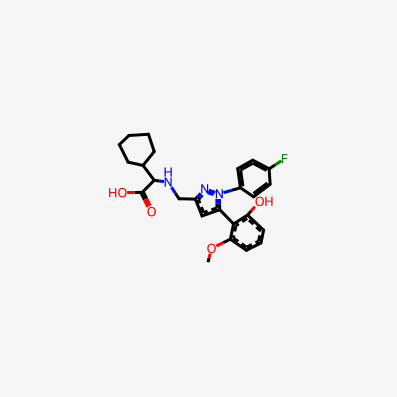 COc1cccc(O)c1-c1cc(CNC(C(=O)O)C2CCCCC2)nn1C1=C=C=C(F)C=C1